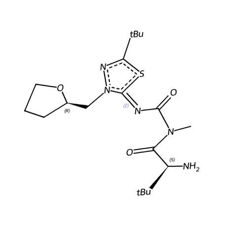 CN(C(=O)/N=c1\sc(C(C)(C)C)nn1C[C@H]1CCCO1)C(=O)[C@@H](N)C(C)(C)C